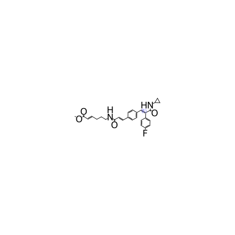 COC(=O)C=CCCCNC(=O)C=Cc1ccc(/C=C(/C(=O)NC2CC2)c2ccc(F)cc2)cc1